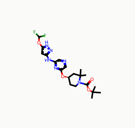 CC(C)(C)OC(=O)N1CC[C@@H](Oc2cncc(Nc3cc(OC(F)F)[nH]n3)n2)CC1(C)C